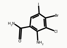 NC(=O)c1cc(I)c(Br)c(Cl)c1N